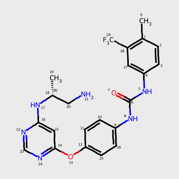 Cc1ccc(NC(=O)Nc2ccc(Oc3cc(N[C@H](C)CN)ncn3)cc2)cc1C(F)(F)F